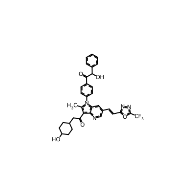 Cc1c(C(=O)CC2CCC(O)CC2)c2ncc(C=Cc3nnc(C(F)(F)F)o3)cc2n1-c1ccc(C(=O)C(O)c2ccccc2)cc1